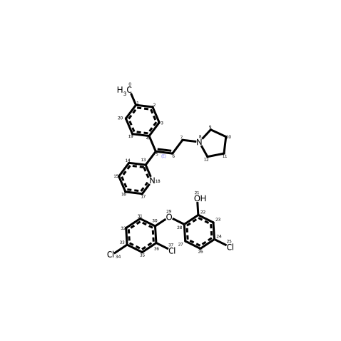 Cc1ccc(/C(=C\CN2CCCC2)c2ccccn2)cc1.Oc1cc(Cl)ccc1Oc1ccc(Cl)cc1Cl